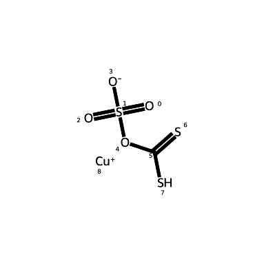 O=S(=O)([O-])OC(=S)S.[Cu+]